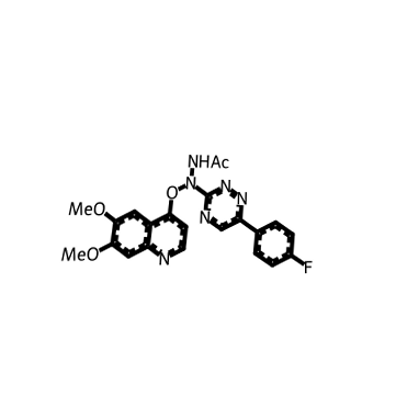 COc1cc2nccc(ON(NC(C)=O)c3ncc(-c4ccc(F)cc4)nn3)c2cc1OC